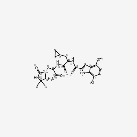 COc1ccc(Cl)c2[nH]c(C(=O)NC(CC3CC3)C(=O)NC(C[C@@H]3CC(C)(C)NC3=O)C(N)=O)cc12